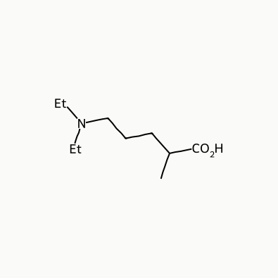 CCN(CC)CCCC(C)C(=O)O